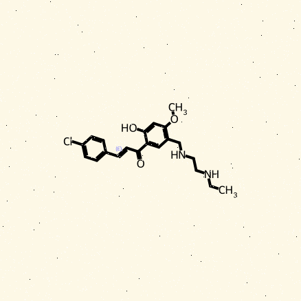 CCNCCNCc1cc(C(=O)/C=C/c2ccc(Cl)cc2)c(O)cc1OC